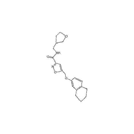 O=C(NCC1CCOC1)c1cc(COc2ccc3c(c2)CCCC3)on1